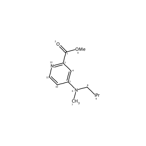 COC(=O)c1cc(N(C)CC(C)C)ccn1